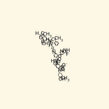 COc1cc(CN2CCN(C3CC4(C3)CN(c3ccc(C(=O)NS(=O)(=O)c5ccc(NCC6CCC(C)(O)CC6)c([N+](=O)[O-])c5)c(Oc5cnc6[nH]cc(F)c6c5)c3)C4)[C@H](c3ccccc3C(C)C)C2)cc2c1OCC2(C)C